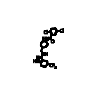 O=C(N[C@H]1CC[C@H](CNc2n[nH]c3ccc(C(F)(F)F)cc23)CC1)c1cc(Cl)ccc1Cl